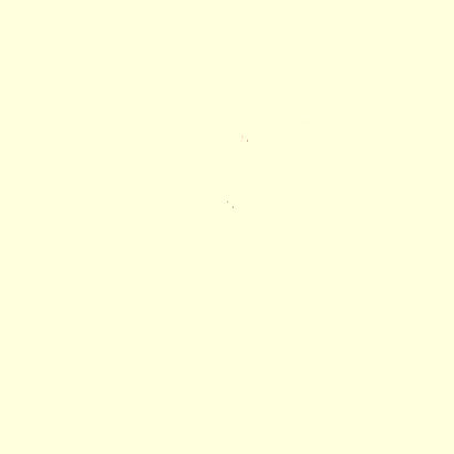 CCOC(=O)C(C)(C)NC(=O)c1ncc(-c2ccc(F)cc2)cc1O